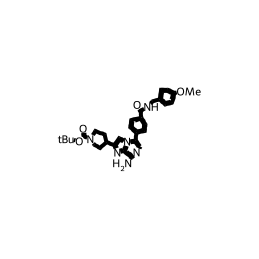 COc1ccc(CNC(=O)c2ccc(-c3cnc(N)c4nc(C5CCN(C(=O)OC(C)(C)C)CC5)cn34)cc2)cc1